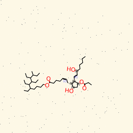 CCCCC[C@H](O)/C=C/[C@@H]1[C@@H](C/C=C\CCCC(=O)OCCCCC(CC)C(CC)C(CC)C(CC)C(C)CC)[C@@H](O)C[C@H]1OC(=O)CC